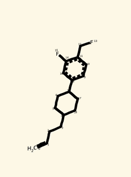 C=CCCC1CCC(c2ccc(CF)c(F)c2)CC1